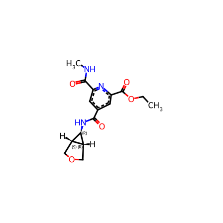 CCOC(=O)c1cc(C(=O)N[C@H]2[C@@H]3COC[C@@H]32)cc(C(=O)NC)n1